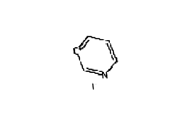 [C+]1=CC=CN=C1.[I-]